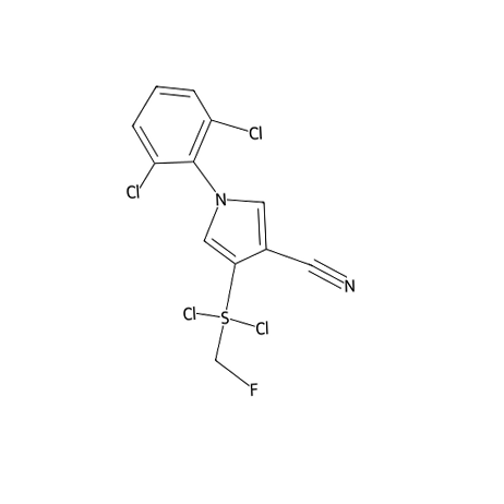 N#Cc1cn(-c2c(Cl)cccc2Cl)cc1S(Cl)(Cl)CF